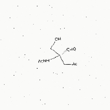 CC(=O)C[C@](C=O)(CO)NC(C)=O